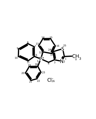 Cc1nc(C[P+](c2ccccc2)(c2ccccc2)c2ccccc2)cs1.[Cl-]